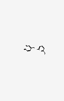 C=C/C=C\C(=C/C=C)COc1cccc(CC)n1